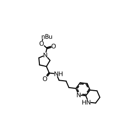 CCCCOC(=O)N1CCC(C(=O)NCCCc2ccc3c(n2)NCCC3)C1